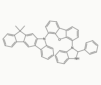 CC1(C)c2ccccc2-c2cc3c4ccccc4n(-c4cccc5c4oc4c(N6c7ccccc7NC6c6ccccc6)cccc45)c3cc21